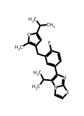 Cc1oc(C(C)C)cc1Cc1cc(-c2nc3sccn3c2C(C)C)ccc1F